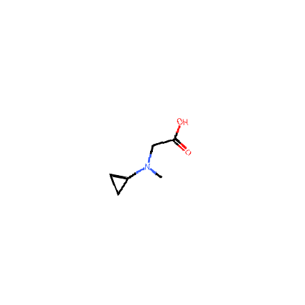 CN(CC(=O)O)C1CC1